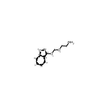 NCCOCOc1noc2ccccc12